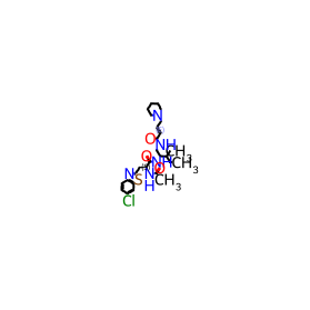 CCC(C)C(CNC(=O)/C=C/CN1CCCCC1)NC(=O)[C@H](Cc1nc2ccc(Cl)cc2s1)NC(C)=O